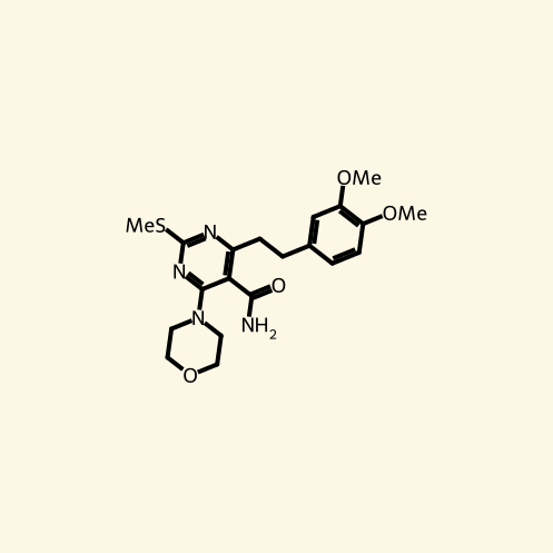 COc1ccc(CCc2nc(SC)nc(N3CCOCC3)c2C(N)=O)cc1OC